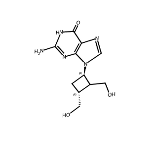 Nc1nc2c(ncn2[C@@H]2C[C@@H](CO)C2CO)c(=O)[nH]1